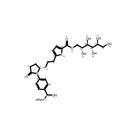 CCCCC[C@H](O)c1ccc(N2C(=O)CC[C@@H]2CCCc2ccc(C(=O)OC[C@@H](O)[C@@H](O)[C@@H](O)[C@@H](O)CO)s2)cc1